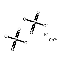 O=S(=O)([O-])[O-].O=S(=O)([O-])[O-].[Co+3].[K+]